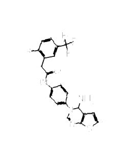 NC1c2ccsc2N=CN1c1ccc(NC(=O)Cc2cc(C(F)(F)F)ccc2F)cc1